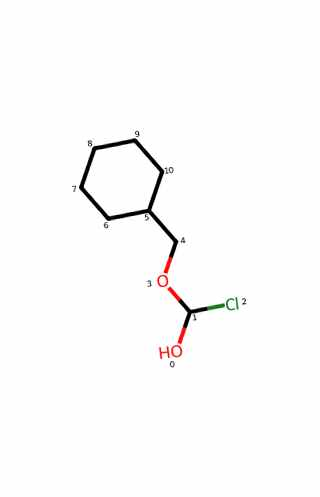 OC(Cl)OCC1CCCCC1